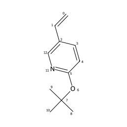 C=Cc1ccc(OC(C)(C)C)nc1